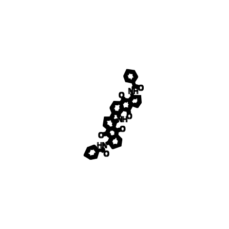 O=C(Nc1cccc2c(=O)c3c(ccc4c5ccc6c(=O)c7c(NC(=O)c8ccccc8)cccc7c(=O)c6c5[nH]c43)c(=O)c12)c1ccccc1